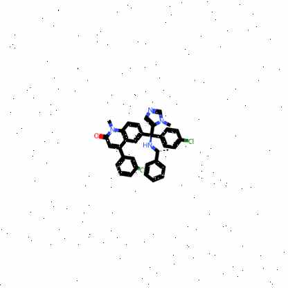 C[C@@H](N[C@@](c1ccc(Cl)cc1)(c1ccc2c(c1)c(-c1cccc(Cl)c1)cc(=O)n2C)c1cncn1C)c1ccccc1